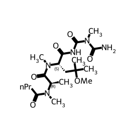 CCCC(=O)N(C)[C@H](C)C(=O)N(C)[C@@H](CC(C)(C)OC)C(=O)NC(=O)N(C)C(N)=O